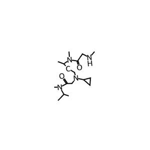 CNCC(=O)N(C)C(C)CCN(CC(=O)N(C)C(C)C)C1CC1